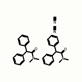 C#N.C#N.CN(C)C(=O)C(c1ccccc1)c1ccccc1.CN(C)C(=O)C(c1ccccc1)c1ccccc1